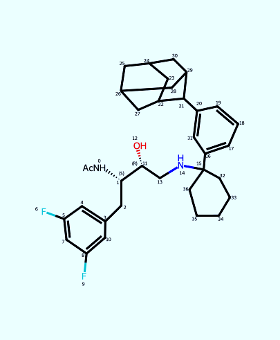 CC(=O)N[C@@H](Cc1cc(F)cc(F)c1)[C@H](O)CNC1(c2cccc(C3C4CC5CC(C4)CC3C5)c2)CCCCC1